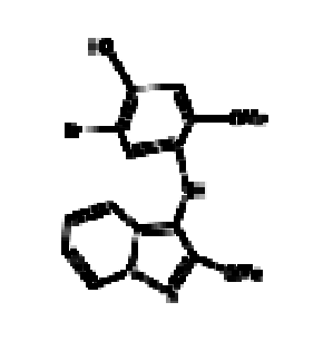 COc1cc(O)c(Br)cc1Nc1c(OC)nn2ccccc12